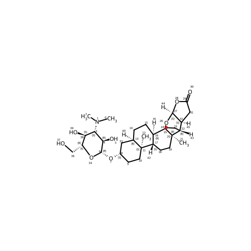 CN(C)[C@@H]1[C@@H](O)[C@H](O[C@H]2CC[C@@]3(C)[C@H](CC[C@@H]4[C@@H]3CC[C@]3(C)[C@@H]5CC[C@]43O[C@H]3OC(=O)C[C@H]35)C2)O[C@H](CO)[C@H]1O